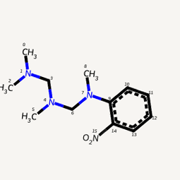 CN(C)CN(C)CN(C)c1ccccc1[N+](=O)[O-]